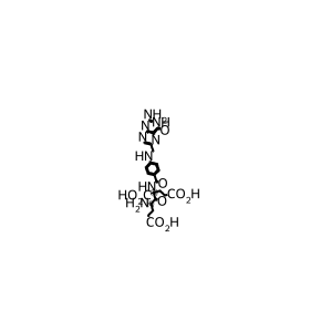 Nc1nc2ncc(CNc3ccc(C(=O)N[C@@](CCC(=O)O)(C(=O)O)C(=O)[C@@H](N)CCC(=O)O)cc3)nc2c(=O)[nH]1